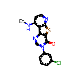 CCNc1ccnc2sc3c(=O)n(-c4cccc(Cl)c4)cnc3c12